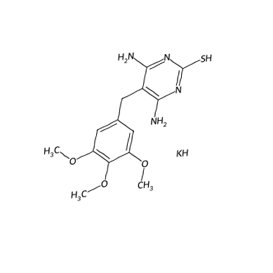 COc1cc(Cc2c(N)nc(S)nc2N)cc(OC)c1OC.[KH]